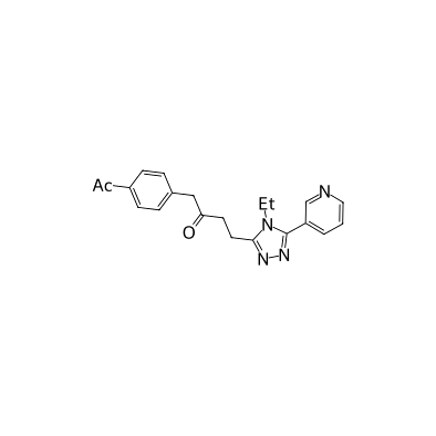 CCn1c(CCC(=O)Cc2ccc(C(C)=O)cc2)nnc1-c1cccnc1